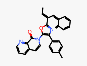 C=c1cccc/c1=C/C(=C\C)c1nc(-c2ccc(C)cc2)c(-n2ccc3cccnc3c2=O)o1